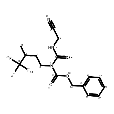 CC(CCN(C(=O)NCC#N)C(=O)OCc1ccccc1)C(F)(F)F